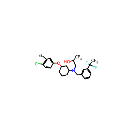 CCc1cc(OC2CCCC(N(Cc3cccc(C(F)(F)C(F)(F)F)c3)CC(O)C(F)(F)F)C2)ccc1Cl